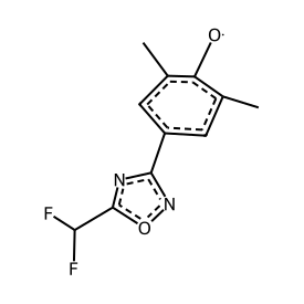 Cc1cc(-c2noc(C(F)F)n2)cc(C)c1[O]